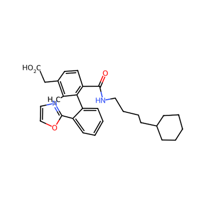 Cc1c(CC(=O)O)ccc(C(=O)NCCCCC2CCCCC2)c1-c1ccccc1-c1ncco1